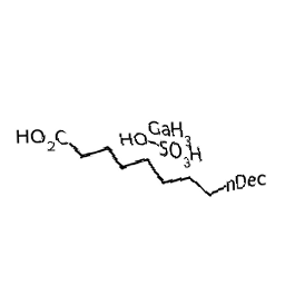 CCCCCCCCCCCCCCCCCC(=O)O.O=S(=O)(O)O.[GaH3]